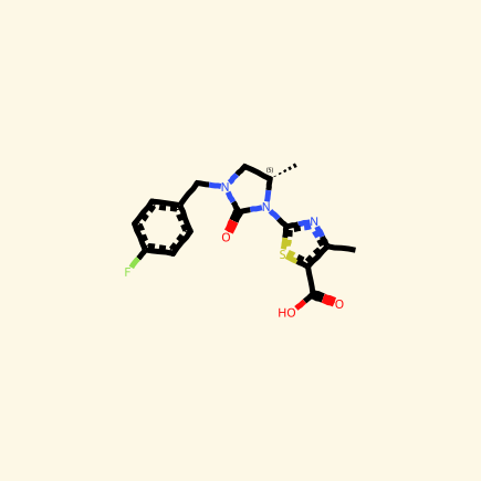 Cc1nc(N2C(=O)N(Cc3ccc(F)cc3)C[C@@H]2C)sc1C(=O)O